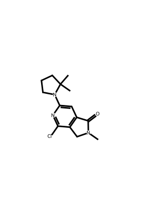 CN1Cc2c(cc(N3CCCC3(C)C)nc2Cl)C1=O